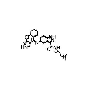 CN(C)CCONC(=O)c1n[nH]c2ccc(/N=C(\C3=CCCCC3)c3c[nH]nc3C(F)(F)F)cc12